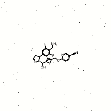 N#Cc1ccc(OCC23CC(C(O)N4N=CCC4c4cc(F)c(CN)c(F)c4)(C2)C3)nc1